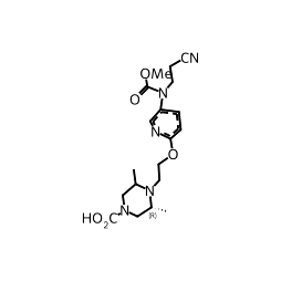 COC(=O)N(CCC#N)c1ccc(OCCN2C(C)CN(C(=O)O)C[C@H]2C)nc1